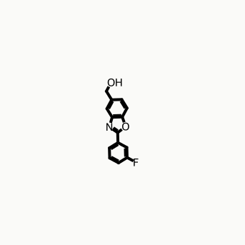 OCc1ccc2oc(-c3cccc(F)c3)nc2c1